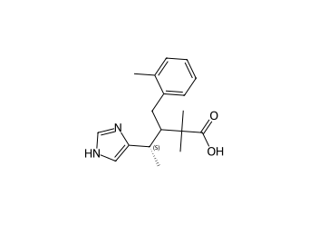 Cc1ccccc1CC([C@H](C)c1c[nH]cn1)C(C)(C)C(=O)O